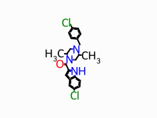 CC1CN(C(=O)c2cc3cc(Cl)ccc3[nH]2)C(C)CN1Cc1ccc(Cl)cc1